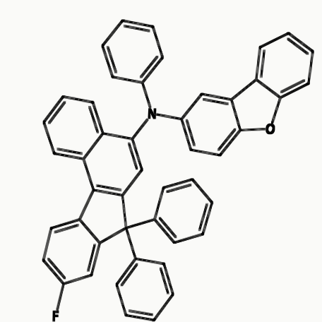 Fc1ccc2c(c1)C(c1ccccc1)(c1ccccc1)c1cc(N(c3ccccc3)c3ccc4oc5ccccc5c4c3)c3ccccc3c1-2